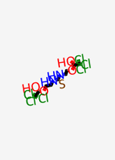 OC(OCCNC(=S)NCCOC(O)C(Cl)(Cl)Cl)C(Cl)(Cl)Cl